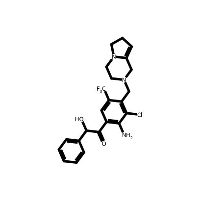 Nc1c(C(=O)C(O)c2ccccc2)cc(C(F)(F)F)c(CN2CCN3CCC=C3C2)c1Cl